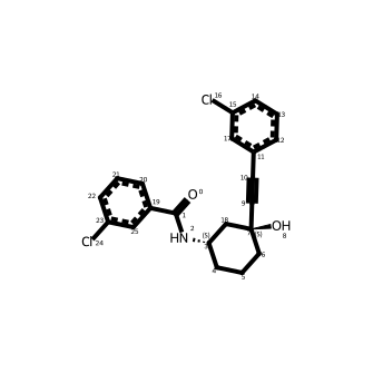 O=C(N[C@H]1CCC[C@@](O)(C#Cc2cccc(Cl)c2)C1)c1cccc(Cl)c1